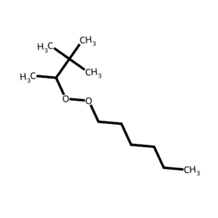 CCCCCCOOC(C)C(C)(C)C